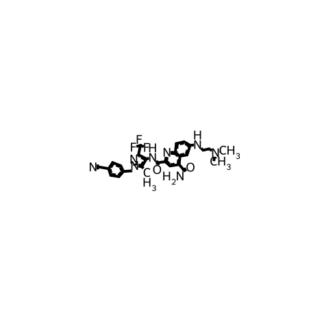 Cc1c(NC(=O)c2cc(C(N)=O)c3cc(NCCN(C)C)ccc3n2)c(C(F)(F)F)nn1Cc1ccc(C#N)cc1